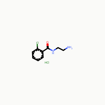 Cl.NCCNC(=O)c1ccccc1Cl